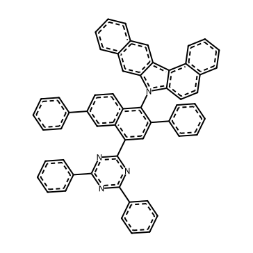 c1ccc(-c2ccc3c(-n4c5cc6ccccc6cc5c5c6ccccc6ccc54)c(-c4ccccc4)cc(-c4nc(-c5ccccc5)nc(-c5ccccc5)n4)c3c2)cc1